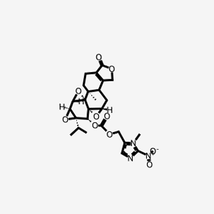 CC(C)[C@]12O[C@H]1[C@@H]1O[C@]13[C@]1(O[C@H]1CC1C4=C(CC[C@@]13C)C(=O)OC4)[C@@H]2OC(=O)OCc1cnc([N+](=O)[O-])n1C